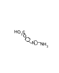 NCC1CCN(Cc2ccc(OCC(=O)O)cc2)CC1